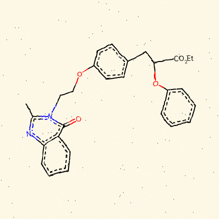 CCOC(=O)C(Cc1ccc(OCCn2c(C)nc3ccccc3c2=O)cc1)Oc1ccccc1